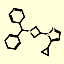 C1=CCC(C(C2=CCCC=C2)N2CC(n3nccc3C3CC3)C2)C=C1